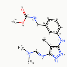 CN(C)C=Nc1[nH]nc(Nc2cccc(CNC(=O)OC(C)(C)C)c2)c1C#N